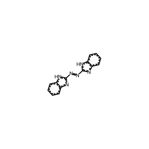 c1ccc2[nH]c(N=Nc3nc4ccccc4[nH]3)nc2c1